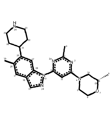 Cc1nc(N2CCO[C@@H](C)C2)cc(-n2ncc3cc(C)c(C4CCNCC4)cc32)n1